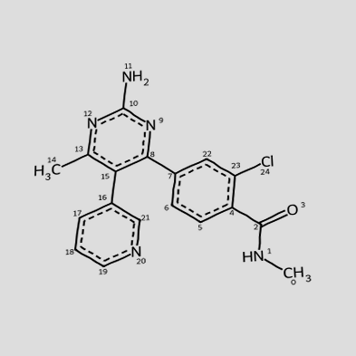 CNC(=O)c1ccc(-c2nc(N)nc(C)c2-c2cccnc2)cc1Cl